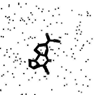 COC(=O)c1ccc2c(c1)[nH]c(=O)c1ccnn12